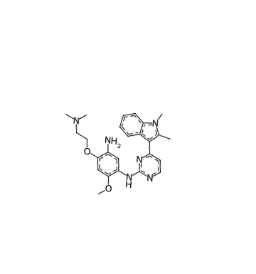 COc1cc(OCCN(C)C)c(N)cc1Nc1nccc(-c2c(C)n(C)c3ccccc23)n1